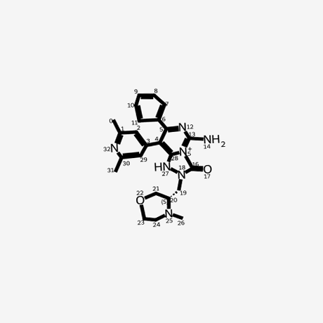 Cc1cc(-c2c(-c3ccccc3)nc(N)[n+]3c(=O)n(C[C@H]4COCCN4C)[nH]c23)cc(C)n1